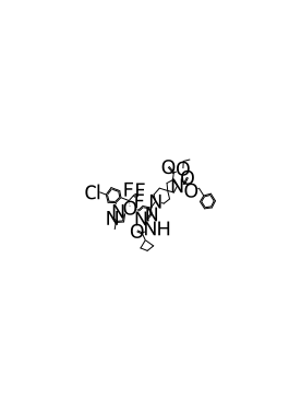 CCOC(=O)C1CC2(CCN(c3cc(O[C@H](c4ccc(Cl)cc4-n4ccc(C)n4)C(F)(F)F)nc(NC(=O)C4CCC4)n3)CC2)CN1C(=O)OCc1ccccc1